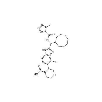 Cc1nocc1C(=O)NC(c1nc2c(F)c(C3COCCN3C(=O)O)ccc2[nH]1)C1CCCCCCC1